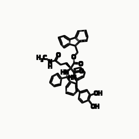 CNC(=O)CC[C@](NC(c1ccccc1)(c1ccccc1)c1ccccc1)(C(=O)NCCc1ccc(O)c(O)c1)C(=O)OCC1c2ccccc2-c2ccccc21